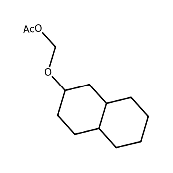 CC(=O)OCOC1CCC2CCCCC2C1